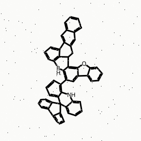 B1c2cccc3c2C(Cc2cc4ccccc4cc2-3)c2c1c(-c1cccc3c1Nc1ccccc1C31c3ccccc3-c3ccccc31)cc1c2oc2ccccc21